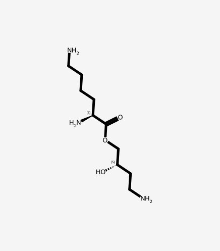 NCCCC[C@H](N)C(=O)OC[C@@H](O)CCN